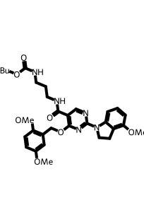 COc1ccc(OC)c(COc2nc(N3CCc4c(OC)cccc43)ncc2C(=O)NCCCNC(=O)OC(C)(C)C)c1